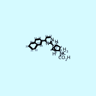 CN(C(=O)O)[C@H]1C[C@H]2C[C@@H]1CN2c1nccc(-c2ccc3ccccc3c2)n1